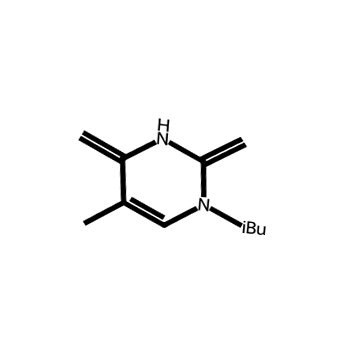 C=C1NC(=C)N(C(C)CC)C=C1C